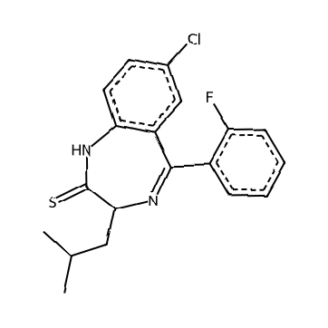 CC(C)CC1N=C(c2ccccc2F)c2cc(Cl)ccc2NC1=S